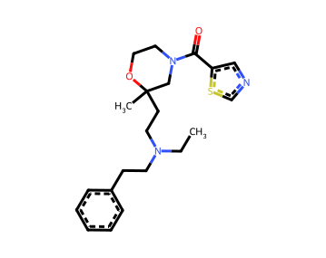 CCN(CCc1ccccc1)CCC1(C)CN(C(=O)c2cncs2)CCO1